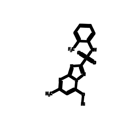 CCOc1cc(C)nc2nc(S(=O)(=O)Nc3ccccc3C(F)(F)F)nn12